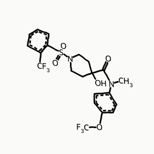 CN(C(=O)C1(O)CCN(S(=O)(=O)c2ccccc2C(F)(F)F)CC1)c1ccc(OC(F)(F)F)cc1